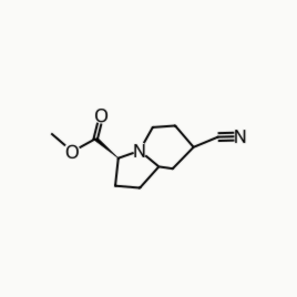 COC(=O)[C@@H]1CCC2CC(C#N)CCN21